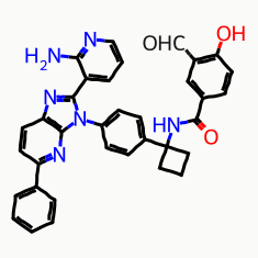 Nc1ncccc1-c1nc2ccc(-c3ccccc3)nc2n1-c1ccc(C2(NC(=O)c3ccc(O)c(C=O)c3)CCC2)cc1